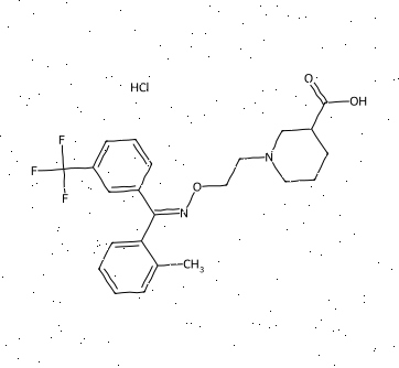 Cc1ccccc1C(=NOCCN1CCCC(C(=O)O)C1)c1cccc(C(F)(F)F)c1.Cl